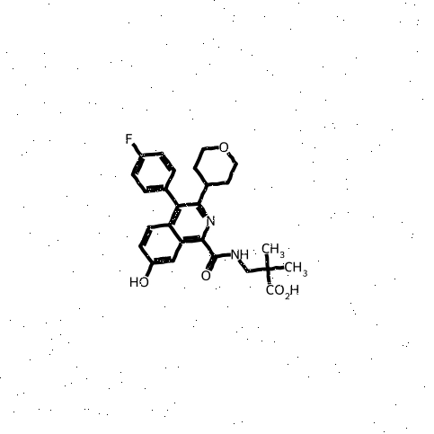 CC(C)(CNC(=O)c1nc(C2CCOCC2)c(-c2ccc(F)cc2)c2ccc(O)cc12)C(=O)O